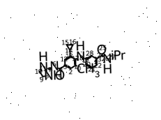 Cc1cc(C(=O)N=C2NCCN2)cc(C2CC2)c1Nc1cccc(C(=O)NC(C)C)c1